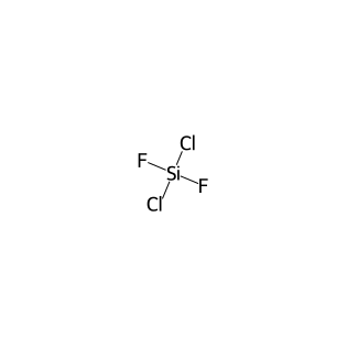 F[Si](F)(Cl)Cl